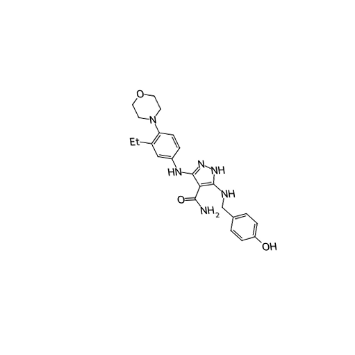 CCc1cc(Nc2n[nH]c(NCc3ccc(O)cc3)c2C(N)=O)ccc1N1CCOCC1